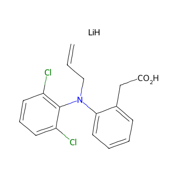 C=CCN(c1ccccc1CC(=O)O)c1c(Cl)cccc1Cl.[LiH]